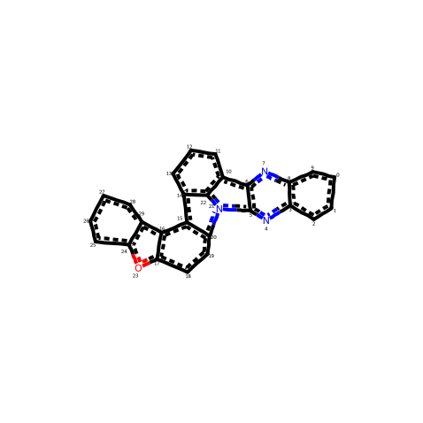 c1ccc2nc3c(nc2c1)c1cccc2c4c5c(ccc4n3c12)oc1ccccc15